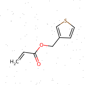 C=CC(=O)OCc1ccsc1